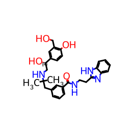 CC(C)(Cc1cccc(C(=O)NCCc2nc3ccccc3[nH]2)c1)NC[C@H](O)c1ccc(O)c(CO)c1